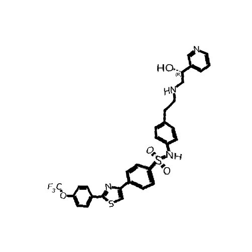 O=S(=O)(Nc1ccc(CCNC[C@H](O)c2cccnc2)cc1)c1ccc(-c2csc(-c3ccc(OC(F)(F)F)cc3)n2)cc1